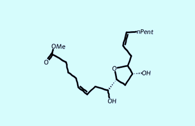 CCCCC/C=C\CC1O[C@@H](C(O)C/C=C\CCCC(=O)OC)C[C@H]1O